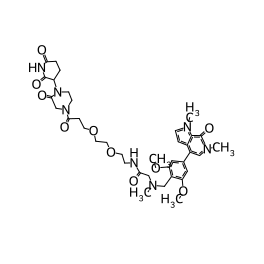 COc1cc(-c2cn(C)c(=O)c3c2ccn3C)cc(OC)c1CN(C)CC(=O)NCCOCCOCCC(=O)N1CCN(C2CCC(=O)NC2=O)C(=O)C1